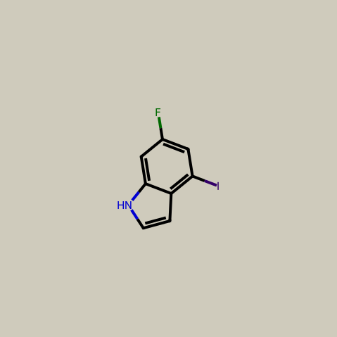 Fc1cc(I)c2cc[nH]c2c1